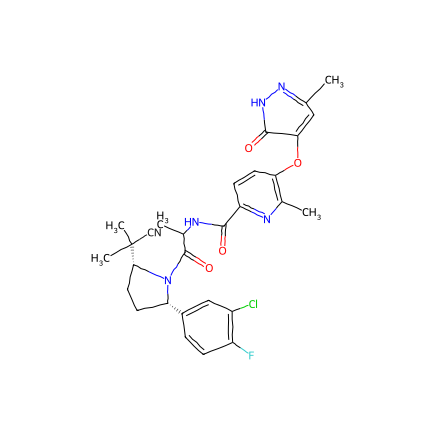 Cc1cc(Oc2ccc(C(=O)NC(C)C(=O)N3[C@H](c4ccc(F)c(Cl)c4)CC[C@@H]3C(C)(C)C#N)nc2C)c(=O)[nH]n1